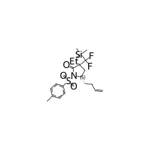 C=CCC[C@H]1CC(CC)(C(F)(F)[Si](C)(C)C)C(=O)N1S(=O)(=O)c1ccc(C)cc1